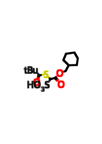 CC(C)(C)C(=O)SC(C(=O)OCC1CCCCC1)S(=O)(=O)O